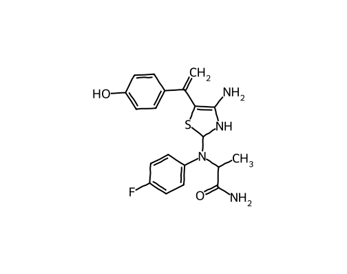 C=C(C1=C(N)NC(N(c2ccc(F)cc2)C(C)C(N)=O)S1)c1ccc(O)cc1